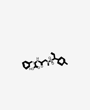 C=CC(c1ccc(C)cc1)S(=O)(=O)N(C)CC(=O)N[C@@H](Cc1ccccc1)C(=O)O